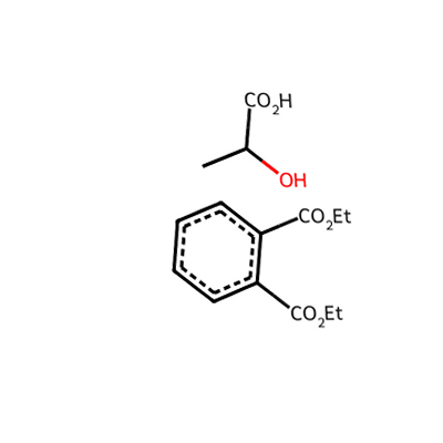 CC(O)C(=O)O.CCOC(=O)c1ccccc1C(=O)OCC